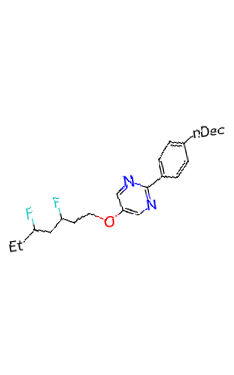 CCCCCCCCCCc1ccc(-c2ncc(OCCC(F)CC(F)CC)cn2)cc1